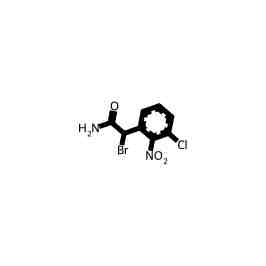 NC(=O)C(Br)c1cccc(Cl)c1[N+](=O)[O-]